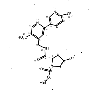 CC(C)(C)OC(=O)N1C[C@H](F)C[C@H]1C(=O)NCc1cc(-c2ccc(C(F)(F)F)nc2)ncc1C(=O)O